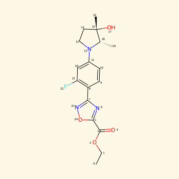 CCOC(=O)c1nc(-c2ccc(N3CC[C@](C)(O)[C@@H]3C)cc2F)no1